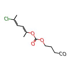 C/C(Cl)=C\C=C(/C)OC(=O)OCCCC(=O)O